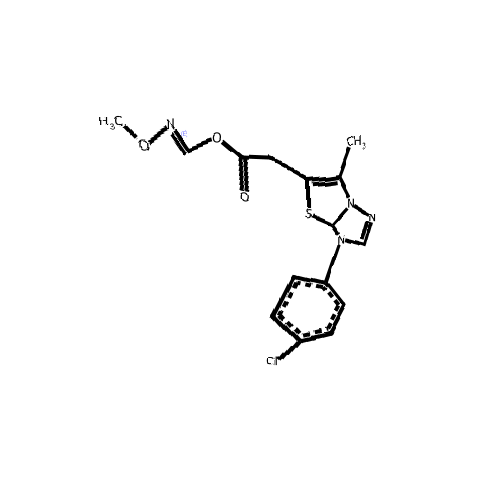 CO/N=C/OC(=O)CC1=C(C)N2N=CN(c3ccc(Cl)cc3)C2S1